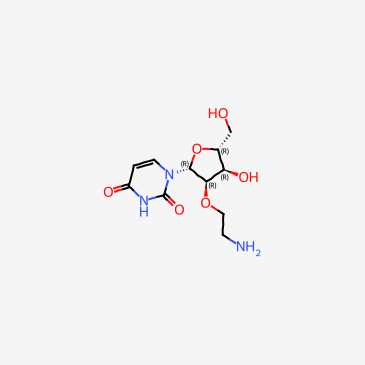 NCCO[C@@H]1[C@H](O)[C@@H](CO)O[C@H]1n1ccc(=O)[nH]c1=O